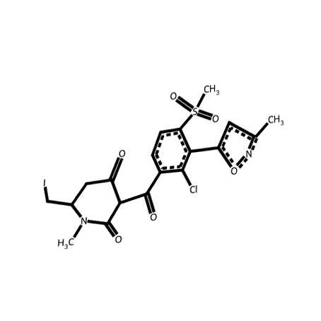 Cc1cc(-c2c(S(C)(=O)=O)ccc(C(=O)C3C(=O)CC(CI)N(C)C3=O)c2Cl)on1